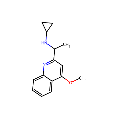 COc1cc(C(C)NC2CC2)nc2ccccc12